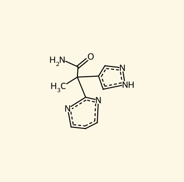 CC(C(N)=O)(c1cn[nH]c1)c1ncccn1